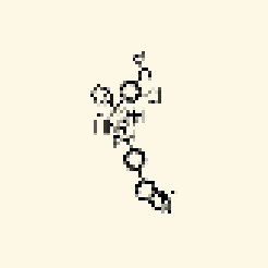 C[C@@H](NC(=O)C(F)(F)c1ccc(-c2ccc3cnn(C)c3c2)cc1)[C@](O)(c1ccc(OC2CC2)c(Cl)c1)N1CCCC1